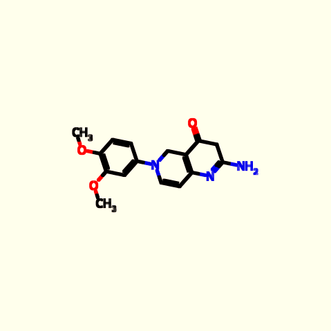 COc1ccc(N2C=CC3=C(C2)C(=O)CC(N)=N3)cc1OC